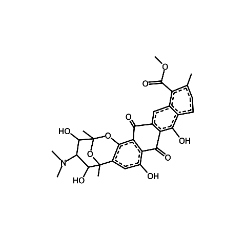 COC(=O)c1c(C)ccc2c(O)c3c(cc12)C(=O)c1c2c(cc(O)c1C3=O)C1(C)OC(C)(O2)C(O)C(N(C)C)C1O